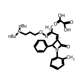 CCCCN(CCCC)CCCON=C(C)/C=C1/C(=O)N(c2ccccc2C)C1c1ccccc1.O=C(O)C(=O)O